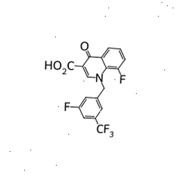 O=C(O)c1cn(Cc2cc(F)cc(C(F)(F)F)c2)c2c(F)cccc2c1=O